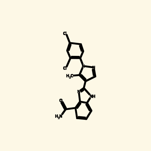 Cc1c(-c2nc3c(C(N)=O)cccc3[nH]2)cnn1-c1ccc(Cl)cc1Cl